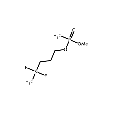 COP(C)(=O)OCCC[Si](C)(F)F